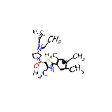 CCN(CC)C1CCN(C(=O)c2sc(-c3cc(C)c(C)cc3C)nc2C)C1